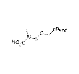 CCCCCCOSN(C)C(=O)O